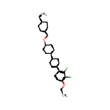 C=CC1CCC(COC2CCC(C3CCC(c4ccc(OCC)c(F)c4F)CC3)CC2)CC1